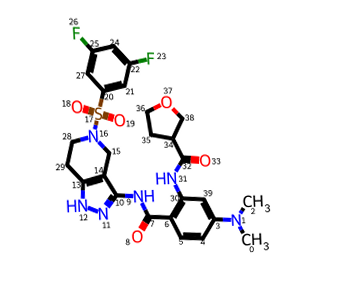 CN(C)c1ccc(C(=O)Nc2n[nH]c3c2CN(S(=O)(=O)c2cc(F)cc(F)c2)CC3)c(NC(=O)C2CCOC2)c1